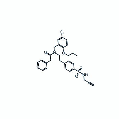 C#CCNS(=O)(=O)c1ccc(CCN(Cc2cc(Cl)ccc2OCCC)C(=O)Cc2ccncc2)cc1